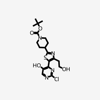 CC(C)(C)OC(=O)N1CCC(c2nc(CCO)c(-c3nc(Cl)ncc3O)s2)CC1